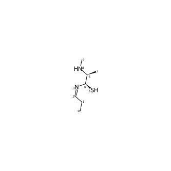 CC/C=N\[C@H](S)[C@H](C)NC